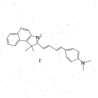 CN(C)c1ccc(/C=C/C=C/C2=[N+](C)c3ccc4ccccc4c3C2(C)C)cc1.[I-]